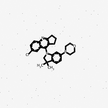 CC1(C)CN(c2c3c(nc4ccc(Cl)cc24)CCC3)c2cc(N3CCOCC3)ccc21